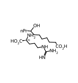 CCCC(O)CCCCCCC(=O)O.N=C(N)NCCC[C@H](N)C(=O)O